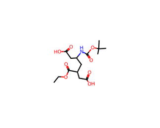 CCOC(=O)C(CC(=O)O)CC(CC(=O)O)NC(=O)OC(C)(C)C